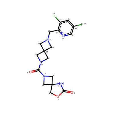 O=C1NC2(CO1)CN(C(=O)N1CC3(CN(Cc4ncc(F)cc4F)C3)C1)C2